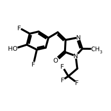 CC1=NC(=Cc2cc(F)c(O)c(F)c2)C(=O)N1CC(F)(F)F